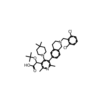 Cc1nc(C)c(C(OC(C)(C)C)C(=O)O)c(N2CCC(C)(C)CC2)c1-c1ccc2c(c1)CCN(Cc1c(Cl)cccc1Cl)C2